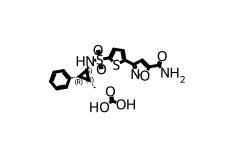 C[C@H]1[C@H](NS(=O)(=O)c2ccc(-c3cc(C(N)=O)on3)s2)[C@H]1c1ccccc1.O=C(O)O